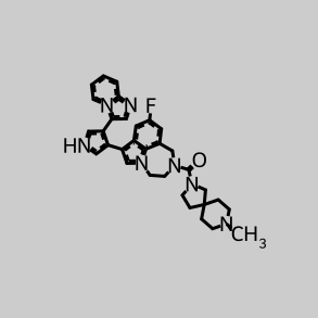 CN1CCC2(CC1)CCN(C(=O)N1CCn3cc(-c4c[nH]cc4-c4cnc5ccccn45)c4cc(F)cc(c43)C1)C2